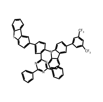 FC(F)(F)c1cc(-c2ccc3c(c2)c2ccccc2n3-c2ccc(-c3ccc4sc5ccccc5c4c3)cc2-c2nc(-c3ccccc3)nc(-c3ccccc3)n2)cc(C(F)(F)F)c1